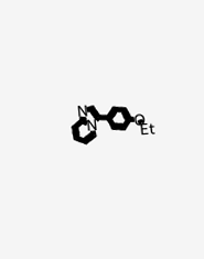 CCOc1ccc(-c2cnc3ccccn23)cc1